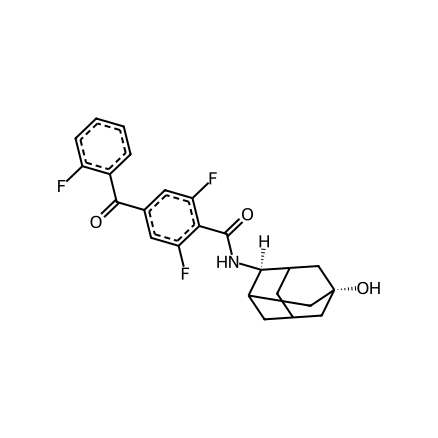 O=C(c1cc(F)c(C(=O)N[C@H]2C3CC4CC2C[C@](O)(C4)C3)c(F)c1)c1ccccc1F